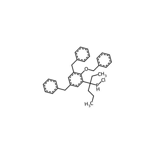 CCCC(CC)(PCl)c1cc(Cc2ccccc2)cc(Cc2ccccc2)c1OCc1ccccc1